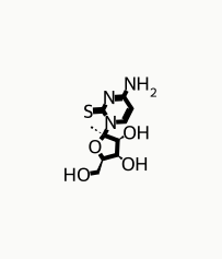 C[C@@]1(n2ccc(N)nc2=S)O[C@H](CO)[C@@H](O)[C@H]1O